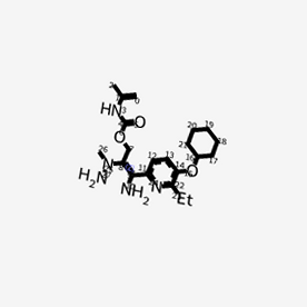 C=C(C)NC(=O)OC/C(=C(/N)c1ccc(OC2CCCCC2)c(CC)n1)N(C)N